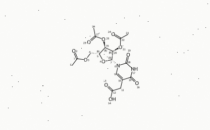 CC(=O)OC[C@H]1O[C@@H](n2cc(CC(=O)O)c(=O)[nH]c2=O)[C@H](OC(C)=O)[C@@H]1OC(C)=O